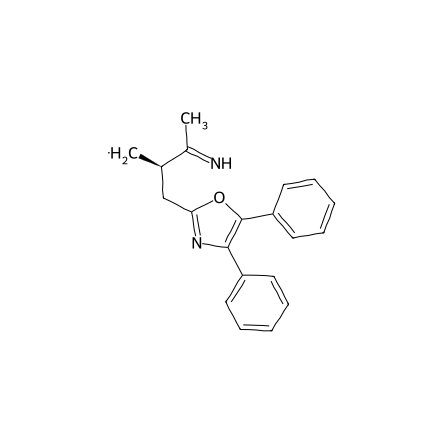 [CH2][C@H](Cc1nc(-c2ccccc2)c(-c2ccccc2)o1)C(C)=N